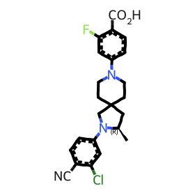 C[C@@H]1CC2(CCN(c3ccc(C(=O)O)c(F)c3)CC2)CN1c1ccc(C#N)c(Cl)c1